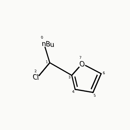 CCCCC(Cl)c1ccco1